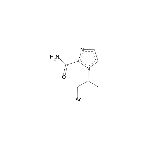 CC(=O)CC(C)n1c[c]nc1C(N)=O